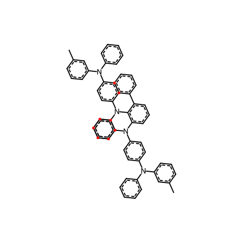 Cc1cccc(N(c2ccccc2)c2ccc(N(c3ccccc3)c3cccc(-c4ccccc4)c3N(c3ccccc3)c3ccc(N(c4ccccc4)c4cccc(C)c4)cc3)cc2)c1